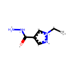 NNC(=O)c1cnn(CC(F)(F)F)c1